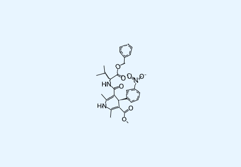 COC(=O)C1=C(C)NC(C)=C(C(=O)N[C@H](C(=O)OCc2ccccc2)C(C)C)[C@H]1c1cccc([N+](=O)[O-])c1